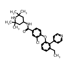 CCc1cccc(Oc2ccc(C(=O)NC3CC(C)(C)NC(C)(C)C3)cc2Cl)c1-c1ccncc1